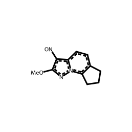 COc1nn2c3c(ccc2c1N=O)CCC3